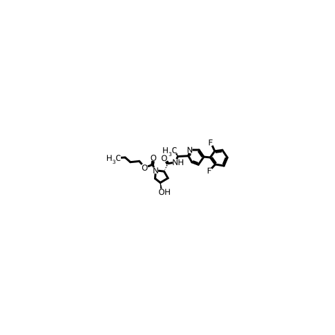 CCCCOC(=O)N1C[C@H](O)C[C@H]1C(=O)N[C@@H](C)c1ccc(-c2c(F)cccc2F)cn1